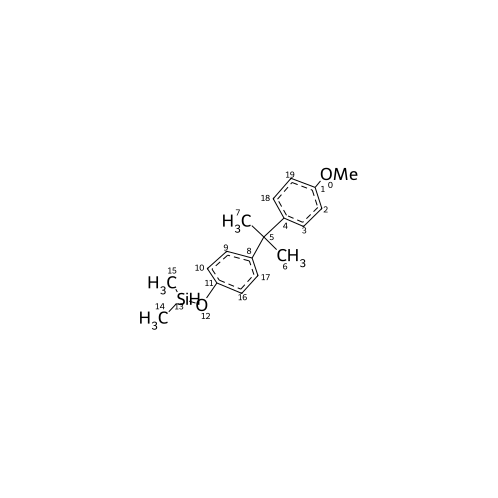 COc1ccc(C(C)(C)c2ccc(O[SiH](C)C)cc2)cc1